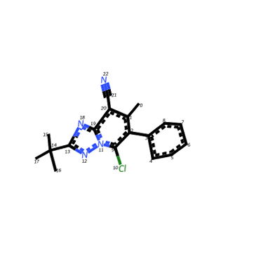 Cc1c(-c2ccccc2)c(Cl)n2nc(C(C)(C)C)nc2c1C#N